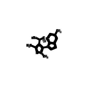 [CH2]C(CCCC)c1c(C)nn(C)c1-n1ccc2cc(C)cnc21